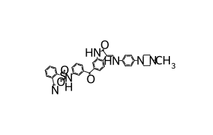 CN1CCN(c2ccc(N/C=C3/C(=O)Nc4cc(C(=O)c5cccc(NS(=O)(=O)c6ccccc6C#N)c5)ccc43)cc2)CC1